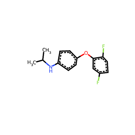 CC(C)Nc1ccc(Oc2cc(F)ccc2F)cc1